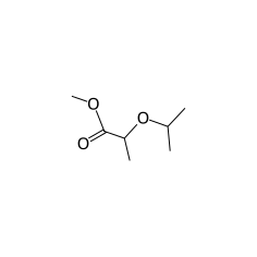 COC(=O)C(C)OC(C)C